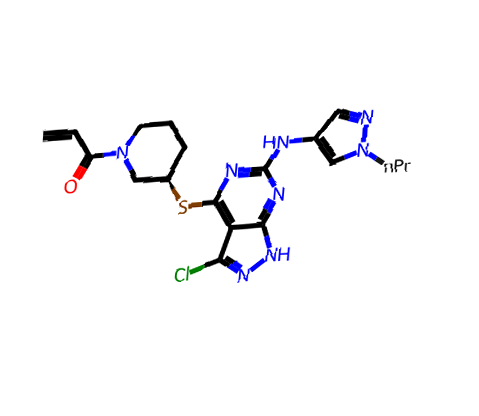 C=CC(=O)N1CCC[C@@H](Sc2nc(Nc3cnn(CCC)c3)nc3[nH]nc(Cl)c23)C1